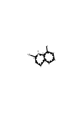 Cc1cccc2ccc(F)nc12